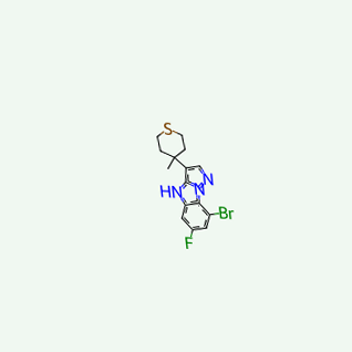 CC1(c2cnn3c2[nH]c2cc(F)cc(Br)c23)CCSCC1